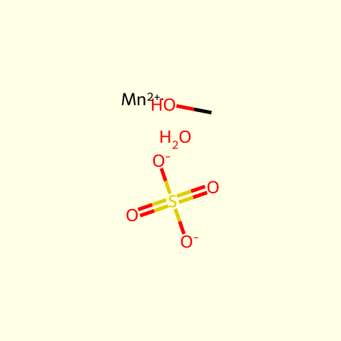 CO.O.O=S(=O)([O-])[O-].[Mn+2]